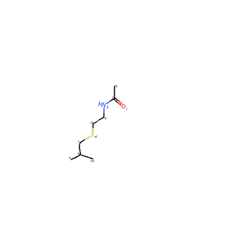 CC(=O)NCCSCC(C)C